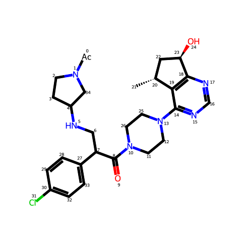 CC(=O)N1CCC(NCC(C(=O)N2CCN(c3ncnc4c3[C@H](C)C[C@H]4O)CC2)c2ccc(Cl)cc2)C1